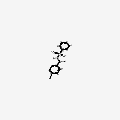 Cc1ccc([C@@H](C)NS(=O)(=O)c2ccccc2)cc1